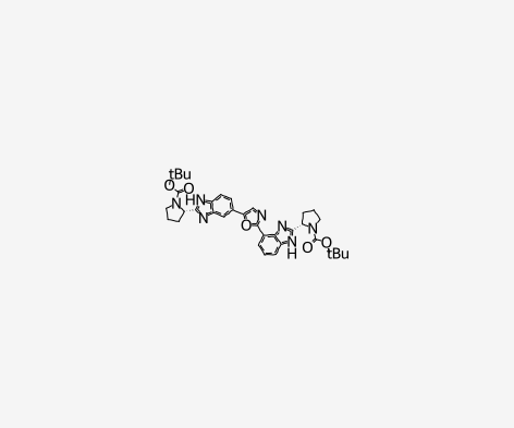 CC(C)(C)OC(=O)N1CCC[C@H]1c1nc2cc(-c3cnc(-c4cccc5[nH]c([C@@H]6CCCN6C(=O)OC(C)(C)C)nc45)o3)ccc2[nH]1